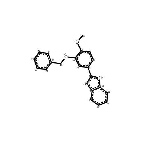 COc1ccc(-c2nc3ccccc3s2)cc1OCc1ccccc1